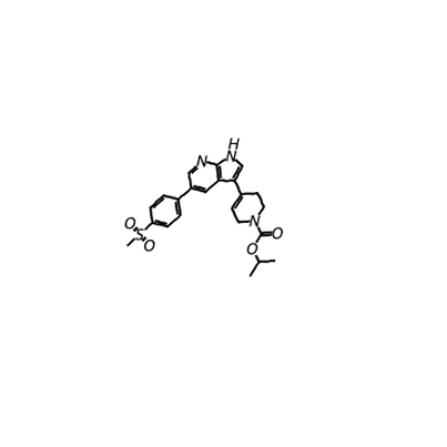 CC(C)OC(=O)N1CC=C(c2c[nH]c3ncc(-c4ccc(S(C)(=O)=O)cc4)cc23)CC1